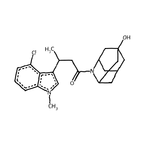 CC(CC(=O)N1C2CC3CC1CC(O)(C3)C2)c1cn(C)c2cccc(Cl)c12